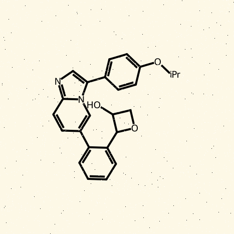 CC(C)Oc1ccc(-c2cnc3ccc(-c4ccccc4C4OCC4O)cn23)cc1